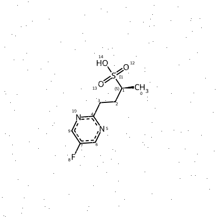 C[C@@H](CCc1ncc(F)cn1)S(=O)(=O)O